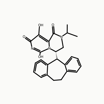 CC(C)N1C[C@H](C2C3=C=C=CC=C3CCc3ccccc32)n2c(O)nc(=O)c(O)c2C1=O